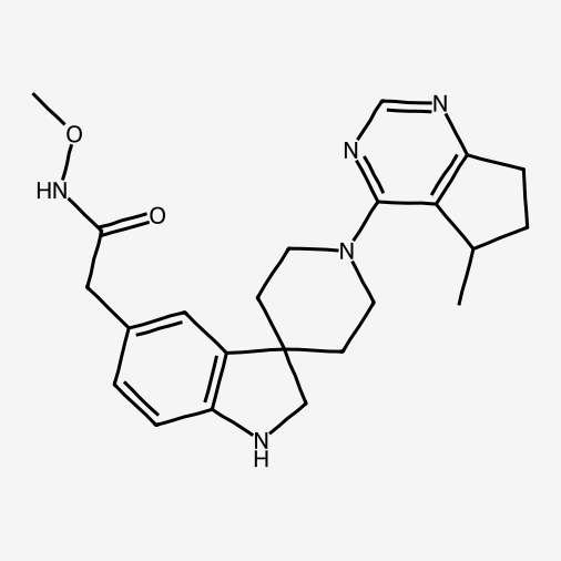 CONC(=O)Cc1ccc2c(c1)C1(CCN(c3ncnc4c3C(C)CC4)CC1)CN2